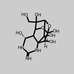 N=C1N[C@H](O)C2C3OC4(O)OC([C@H](O)C2(N1)[C@@H]4O)C3(O)CO